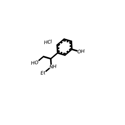 CCNC(CO)c1cccc(O)c1.Cl